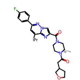 CC(C)c1cc(-c2ccc(F)cc2)nn2cc(C(=O)N3CCN(C(=O)CC4CCOC4)[C@@H](C)C3)nc12